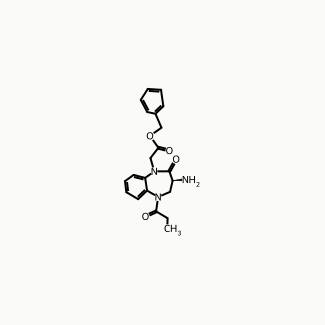 CCC(=O)N1C[C@H](N)C(=O)N(CC(=O)OCc2ccccc2)c2ccccc21